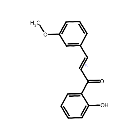 COc1cccc(/C=C/C(=O)c2ccccc2O)c1